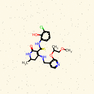 COCC(C)Oc1cnccc1CNC1=C(C(=S)Nc2cccc(Cl)c2O)C(=O)NC(C)C1